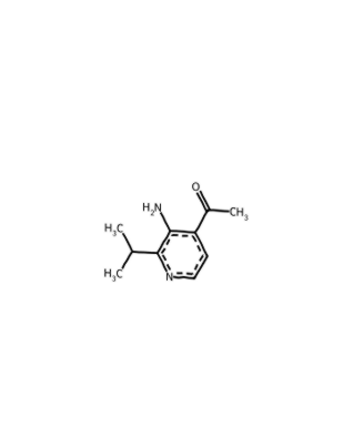 CC(=O)c1ccnc(C(C)C)c1N